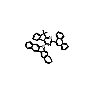 CC1(C)c2ccccc2-c2c(-n3c4cc5c(cc4c4cc6ccccc6cc43)C=CCC5)nc(-c3cc4ccccc4c4ccccc34)nc21